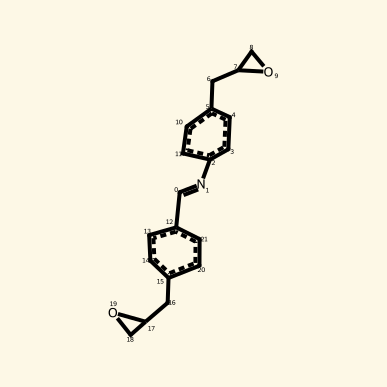 C(=Nc1ccc(CC2CO2)cc1)c1ccc(CC2CO2)cc1